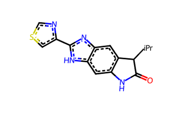 CC(C)C1C(=O)Nc2cc3[nH]c(-c4cscn4)nc3cc21